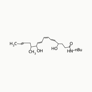 CC#CCC(C)C(O)/C=C/C=C\C=C\C(O)CCC(=O)NCCCC